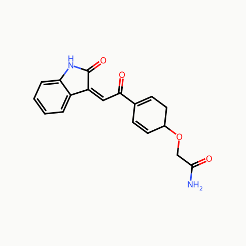 NC(=O)COC1C=CC(C(=O)/C=C2\C(=O)Nc3ccccc32)=CC1